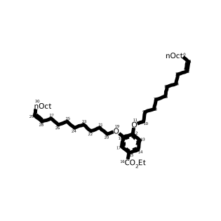 CCCCCCCC/C=C\CCCCCCCCOc1ccc(C(=O)OCC)cc1OCCCCCCCC/C=C\CCCCCCCC